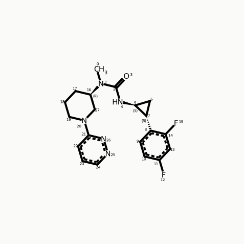 CN(C(=O)N[C@H]1C[C@@H]1c1ccc(F)cc1F)[C@@H]1CCCN(c2cccnn2)C1